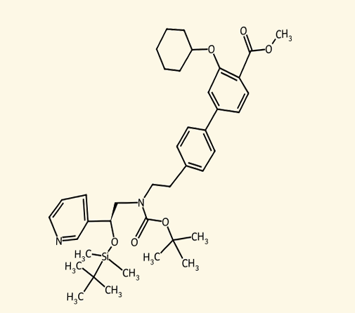 COC(=O)c1ccc(-c2ccc(CCN(C[C@@H](O[Si](C)(C)C(C)(C)C)c3cccnc3)C(=O)OC(C)(C)C)cc2)cc1OC1CCCCC1